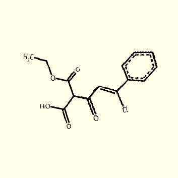 CCOC(=O)C(C(=O)O)C(=O)C=C(Cl)c1ccccc1